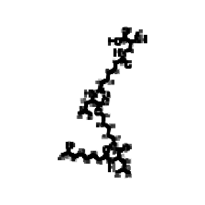 CNC(CNC(=O)CCCCCC(=O)NC(CC(C)C)C(=O)OCCCCCOC(=O)C(CC(C)C)NC(=O)CCCCCC(C)=O)C(=O)O